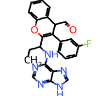 CCC(Nc1ncnc2[nH]cnc12)C1=C(c2cccc(F)c2)C(C=O)c2ccccc2O1